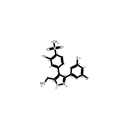 CS(=O)(=O)c1ccc(-c2c(-c3cc(F)cc(F)c3)noc2CO)cc1F